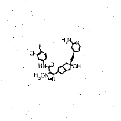 Cn1cnc(C2CC3CC(O)(C#Cc4ccnc(N)c4)CC3C2)c1C(=O)Nc1ccc(F)c(Cl)c1